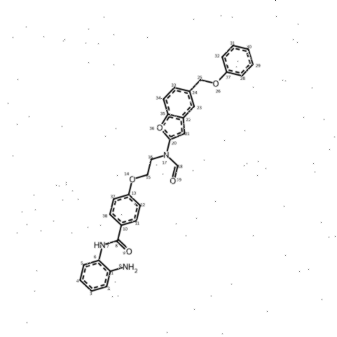 Nc1ccccc1NC(=O)c1ccc(OCCN(C=O)c2cc3cc(COc4ccccc4)ccc3o2)cc1